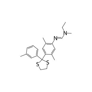 CCN(C)C=Nc1cc(C)c(C2(c3cccc(C)c3)SCCS2)cc1C